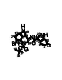 Cc1ccc2c(C(=O)NC(CNC(=O)OC(C)(C)C)c3c[nH]c4ccc(Br)cc34)c[nH]c2c1